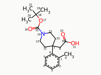 Cc1ccccc1C1(CC(=O)O)CCN(C(=O)OC(C)(C)C)CC1